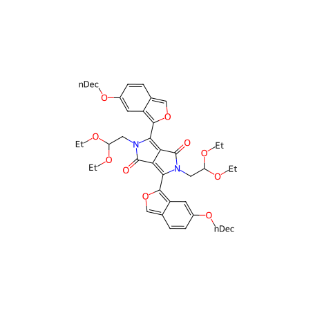 CCCCCCCCCCOc1ccc2coc(C3=C4C(=O)N(CC(OCC)OCC)C(c5occ6ccc(OCCCCCCCCCC)cc56)=C4C(=O)N3CC(OCC)OCC)c2c1